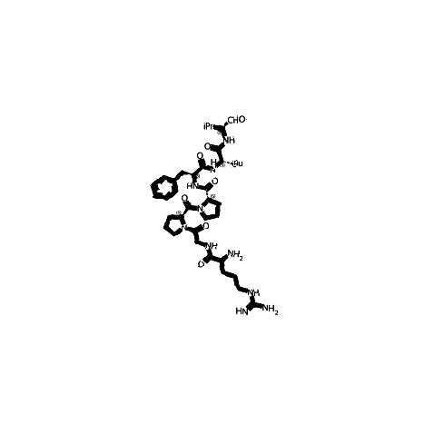 CCC(C)[C@H](NC(=O)[C@H](Cc1ccccc1)NC(=O)[C@@H]1CCCN1C(=O)[C@@H]1CCCN1C(=O)CNC(=O)C(N)CCCNC(=N)N)C(=O)N[C@H]([C]=O)C(C)C